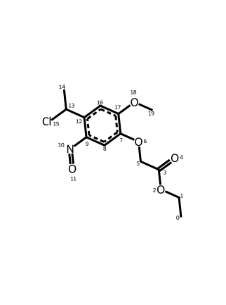 CCOC(=O)COc1cc(N=O)c(C(C)Cl)cc1OC